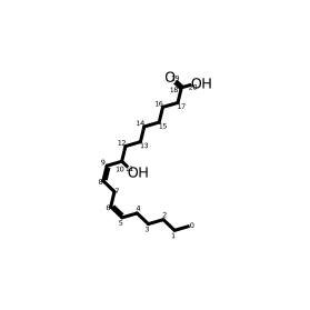 CCCCC/C=C\C/C=C\C(O)CCCCCCC(=O)O